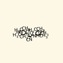 CC1(C)CC(NC=C(C#N)C(=O)NC2CC(C)(C)NC(C)(C)C2)CC(C)(C)N1